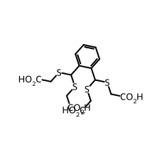 O=C(O)CSC(SCC(=O)O)c1ccccc1C(SCC(=O)O)SCC(=O)O